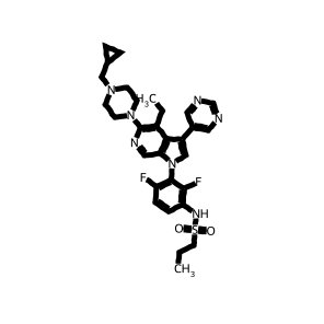 CCCS(=O)(=O)Nc1ccc(F)c(-n2cc(-c3cncnc3)c3c(CC)c(N4CCN(CC5CC5)CC4)ncc32)c1F